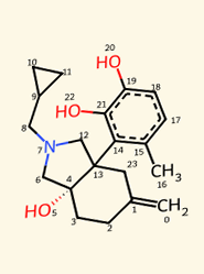 C=C1CC[C@@]2(O)CN(CC3CC3)CC2(c2c(C)ccc(O)c2O)C1